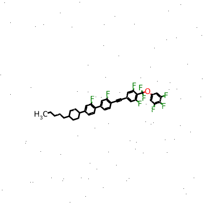 CCCCCC1CCC(c2ccc(-c3ccc(C#Cc4cc(F)c(C(F)(F)Oc5cc(F)c(F)c(F)c5)c(F)c4)c(F)c3)c(F)c2)CC1